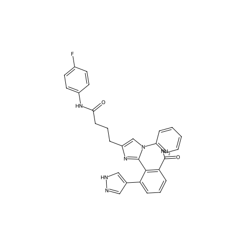 NC(=O)c1cccc(-c2cn[nH]c2)c1-c1nc(CCCC(=O)Nc2ccc(F)cc2)cn1-c1ccccc1